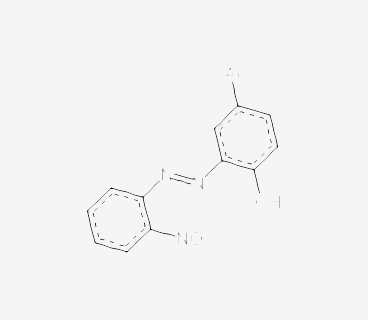 CC(=O)c1ccc(O)c(/N=N/c2ccccc2[N+](=O)[O-])c1